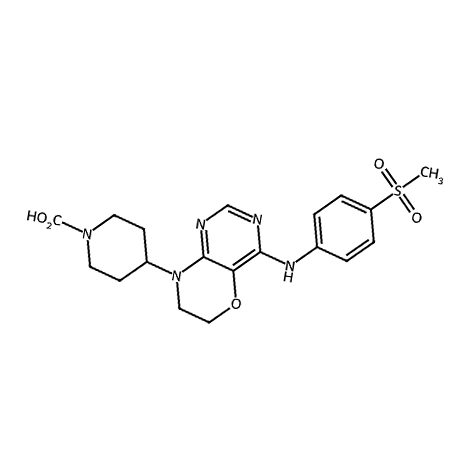 CS(=O)(=O)c1ccc(Nc2ncnc3c2OCCN3C2CCN(C(=O)O)CC2)cc1